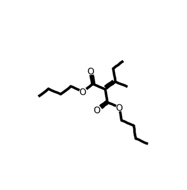 CCCCOC(=O)C(C(=O)OCCCC)=C(C)CC